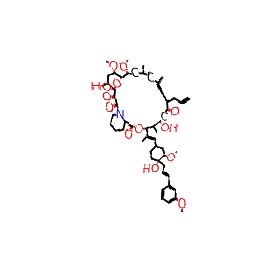 C=CCC1/C=C(\C)CC(C)CC(OC)C2OC(O)(C(=O)C(=O)N3CCCCC3C(=O)OC(C(C)=CC3CCC(O)(CC=Cc4cccc(OC)c4)C(OC)C3)C(C)C(O)CC1=O)C(C)CC2OC